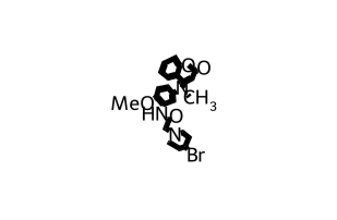 COc1ccc(N(C)c2cc(=O)oc3ccccc23)cc1NC(=O)CN1CCC(Br)CC1